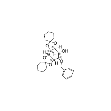 O[C@@H]1[C@@H](OCc2ccccc2)[C@@H]2OC3(CCCCC3)O[C@@H]2[C@@H]2OC3(CCCCC3)O[C@@H]12